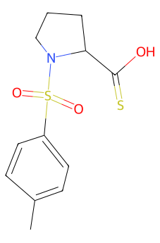 Cc1ccc(S(=O)(=O)N2CCCC2C(O)=S)cc1